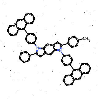 Cc1ccc(-c2cc3cc4c(cc(-c5ccccc5)n4-c4ccc(-c5c6ccccc6cc6ccccc56)cc4)cc3n2-c2ccc(-c3c4ccccc4cc4ccccc34)cc2)cc1